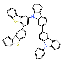 c1ccc(-n2c3ccccc3c3cc(-c4ccc5c6ccccc6n(-c6cc(-c7ccc8sc9ccccc9c8c7)c7sc8ccccc8c7c6)c5c4)ccc32)cc1